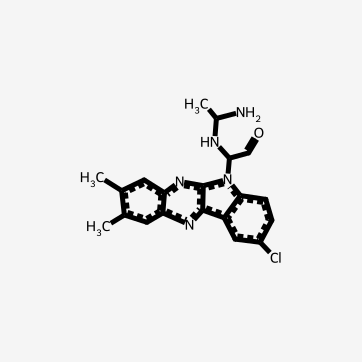 Cc1cc2nc3c4cc(Cl)ccc4n(C(C=O)NC(C)N)c3nc2cc1C